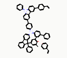 C=Cc1ccc(Oc2c(C)cc(C3(c4ccccc4)c4ccccc4-c4ccc(N(c5ccc(-c6ccccc6)cc5)c5ccc(-c6ccc7c(c6)c6cc(-c8ccc(C=C)cc8)ccc6n7-c6ccccc6)cc5)cc43)cc2C)cc1